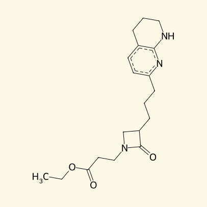 CCOC(=O)CCN1CC(CCCc2ccc3c(n2)NCCC3)C1=O